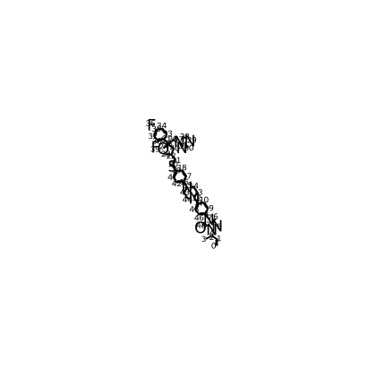 C=CC(C)n1ncn(-c2ccc(N3CCN(c4ccc(SCC5COC(Cn6cncn6)(c6ccc(F)cc6F)C5)cc4)CC3)cc2)c1=O